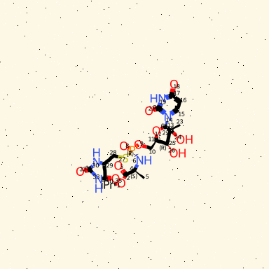 CC(C)OC(=O)[C@H](C)N[P@@](=O)(OC[C@H]1O[C@@H](n2ccc(=O)[nH]c2=O)[C@](C)(O)[C@@H]1O)SCC1NC(=O)NC1=O